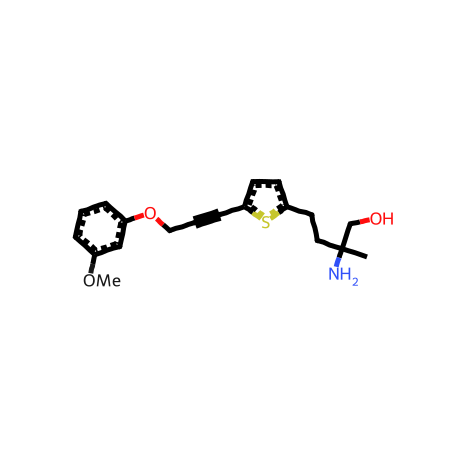 COc1cccc(OCC#Cc2ccc(CCC(C)(N)CO)s2)c1